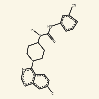 N#Cc1cccc(NC(=O)N(S)C2CCN(c3ncnc4cc(Cl)ccc34)CC2)c1